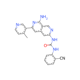 Cc1ccncc1-c1cc2cc(NC(=O)Nc3ccccc3C#N)ncc2c(N)n1